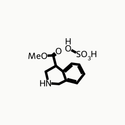 COC(=O)C1CNCc2ccccc21.O=S(=O)(O)O